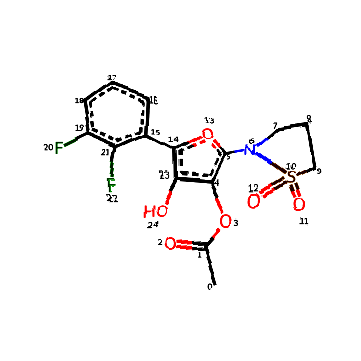 CC(=O)Oc1c(N2CCCS2(=O)=O)oc(-c2cccc(F)c2F)c1O